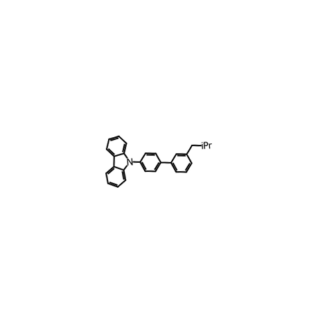 CC(C)Cc1cccc(-c2ccc(-n3c4ccccc4c4ccccc43)cc2)c1